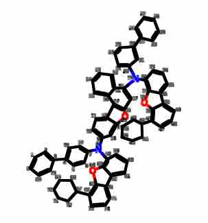 c1ccc(-c2ccc(N(c3ccc4c(c3)oc3cc(N(c5cccc(-c6ccccc6)c5)c5cccc6c5oc5c(C7CCCCC7)cccc56)c5ccccc5c34)c3cccc4c3oc3c(C5CCCCC5)cccc34)cc2)cc1